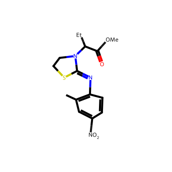 CCC(C(=O)OC)N1CCSC1=Nc1ccc([N+](=O)[O-])cc1C